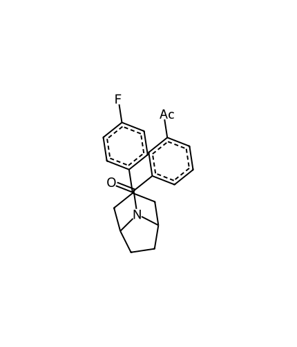 CC(=O)c1cccc(C(=O)N2C3CCC2CC(c2ccc(F)cc2)C3)c1